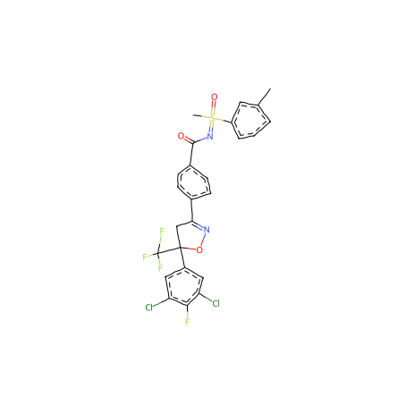 Cc1cccc(S(C)(=O)=NC(=O)c2ccc(C3=NOC(c4cc(Cl)c(F)c(Cl)c4)(C(F)(F)F)C3)cc2)c1